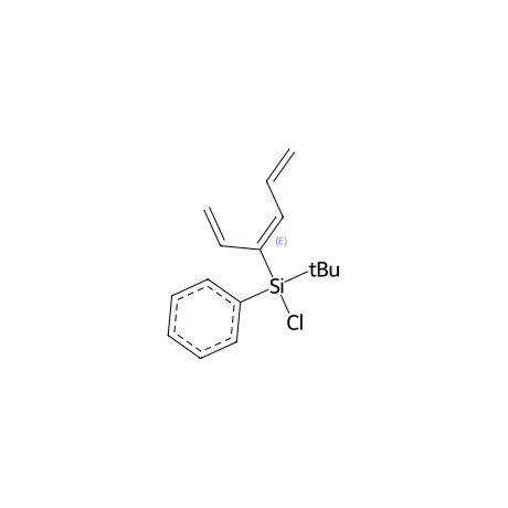 C=C/C=C(\C=C)[Si](Cl)(c1ccccc1)C(C)(C)C